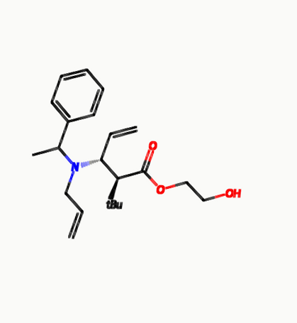 C=CCN(C(C)c1ccccc1)[C@H](C=C)[C@@H](C(=O)OCCO)C(C)(C)C